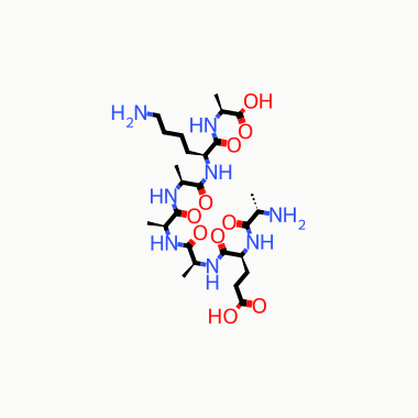 C[C@H](N)C(=O)N[C@@H](CCC(=O)O)C(=O)N[C@@H](C)C(=O)N[C@@H](C)C(=O)N[C@@H](C)C(=O)N[C@@H](CCCCN)C(=O)N[C@@H](C)C(=O)O